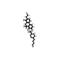 CCCCCC1CCC(C(=O)Oc2ccc3c(c2F)C(F)(F)Cc2c-3ccc(CCC)c2F)CC1